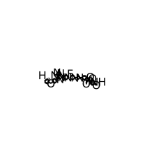 Nc1ncnc2c1c(-c1ccc(Oc3ccccc3)cc1)nn2C1CCN([C@H]2CCN(C3CN(c4ccc5c(c4)C(=O)N(C4CCC(=O)NC4=O)C5=O)C3)C[C@@H]2F)CC1